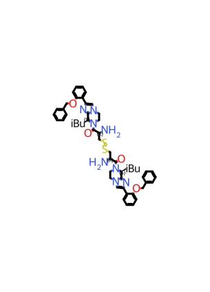 CCC(C)[C@H]1c2nc(-c3ccccc3OCc3ccccc3)cn2CCN1C(=O)[C@@H](N)CSSC[C@H](N)C(=O)N1CCn2cc(-c3ccccc3OCc3ccccc3)nc2[C@@H]1C(C)CC